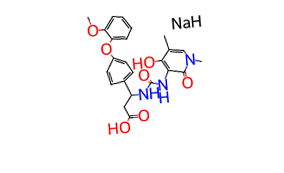 COc1ccccc1Oc1ccc(C(CC(=O)O)NC(=O)Nc2c(O)c(C)cn(C)c2=O)cc1.[NaH]